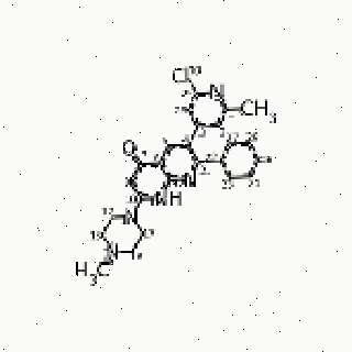 Cc1cc(-c2cc3c(=O)cc(N4CCN(C)CC4)[nH]c3nc2-c2ccccc2)cc(Cl)n1